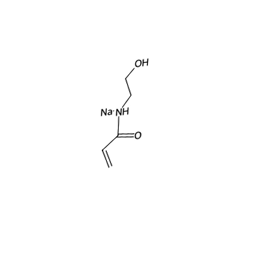 C=CC(=O)NCCO.[Na]